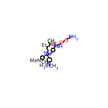 C=C/C(=C\C(=C/Cc1nc(-c2ccc(NC)c(C)c2)c(C2=CCC=C(N(C)C)C=C2)n1Cc1ccc(C(=O)NCCOCCOCCN)cc1)CC)CC